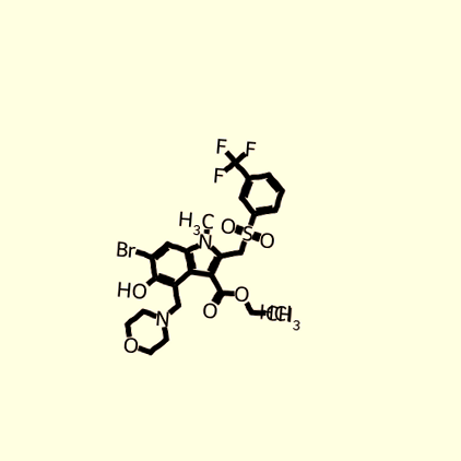 CCOC(=O)c1c(CS(=O)(=O)c2cccc(C(F)(F)F)c2)n(C)c2cc(Br)c(O)c(CN3CCOCC3)c12.Cl